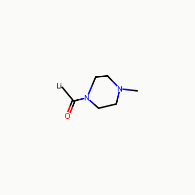 [Li][C](=O)N1CCN(C)CC1